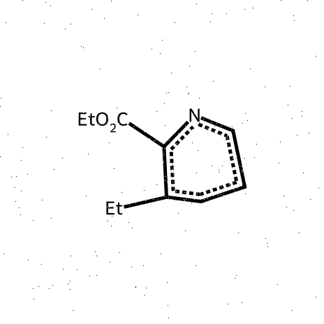 CCOC(=O)c1ncccc1CC